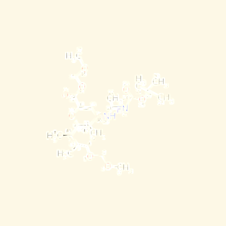 COCOC[C@@H](C)[C@@H](C)[C@@H]1OC(C(=O)OCOC)=C[C@H](N/C(C)=N/C(=O)OC(C)(C)C)[C@H]1C